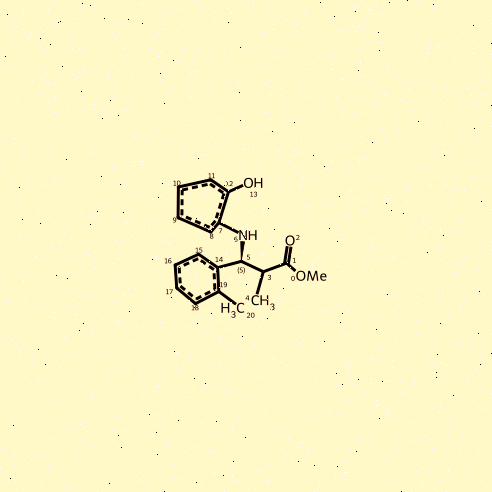 COC(=O)C(C)[C@H](Nc1ccccc1O)c1ccccc1C